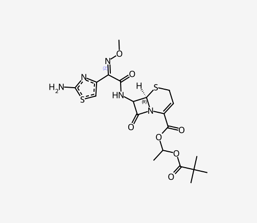 CO/N=C(\C(=O)NC1C(=O)N2C(C(=O)OC(C)OC(=O)C(C)(C)C)=CCS[C@H]12)c1csc(N)n1